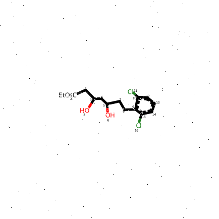 CCOC(=O)CC(O)CC(O)CCc1c(Cl)cccc1Cl